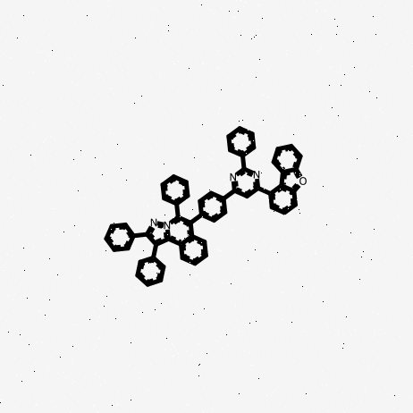 c1ccc(-c2nc(-c3ccc(-c4c(-c5ccccc5)n5nc(-c6ccccc6)c(-c6ccccc6)c5c5ccccc45)cc3)cc(-c3cccc4oc5ccccc5c34)n2)cc1